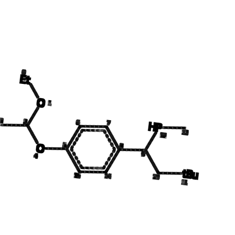 CCOC(C)Oc1ccc(C(CC(C)(C)C)PC)cc1